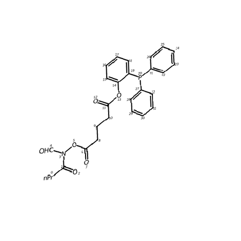 CCCC(=O)N(C=O)OC(=O)CCCC(=O)Oc1ccccc1P(c1ccccc1)c1ccccc1